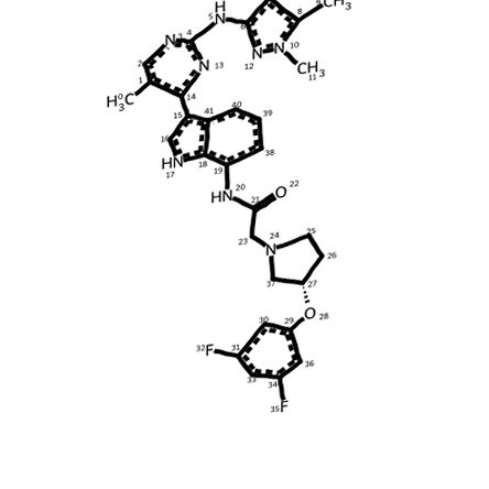 Cc1cnc(Nc2cc(C)n(C)n2)nc1-c1c[nH]c2c(NC(=O)CN3CC[C@H](Oc4cc(F)cc(F)c4)C3)cccc12